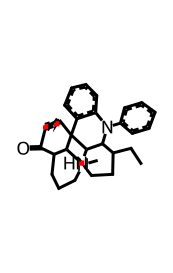 CCC1CCNC2C1N(c1ccccc1)c1ccccc1C21c2ccccc2C(=O)C2CCCN(C)C21